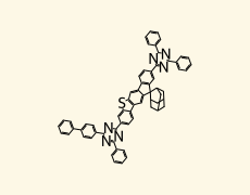 c1ccc(-c2ccc(-c3nc(-c4ccccc4)nc(-c4ccc5c(c4)sc4cc6c(cc45)C4(c5cc(-c7nc(-c8ccccc8)nc(-c8ccccc8)n7)ccc5-6)C5CC6CC(C5)CC4C6)n3)cc2)cc1